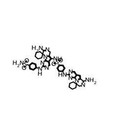 NC1=NCC2(CCCCC2)n2c1cc1cnc(Nc3ccc(S(=O)(=O)Nc4c5n(c6nc(Nc7ccc(S(N)(=O)=O)cc7)ncc46)C4(CCCCC4)C(N)=NC5)cc3)nc12